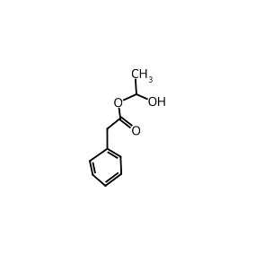 CC(O)OC(=O)Cc1ccccc1